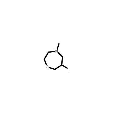 CN1CCOCC(F)C1